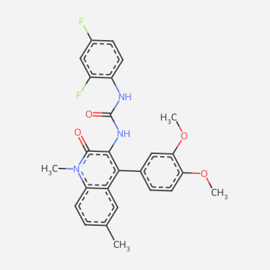 COc1ccc(-c2c(NC(=O)Nc3ccc(F)cc3F)c(=O)n(C)c3ccc(C)cc23)cc1OC